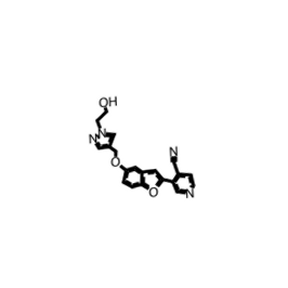 N#Cc1ccncc1-c1cc2cc(OCc3cnn(CCO)c3)ccc2o1